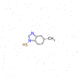 Cc1ccc2c(c1)ncn2S